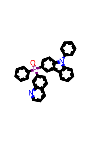 O=P(c1ccccc1)(c1ccc2cccnc2c1)c1ccc2c(c1)c1ccccc1n2-c1ccccc1